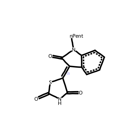 CCCCCN1C(=O)/C(=C2\SC(=O)NC2=O)c2ccccc21